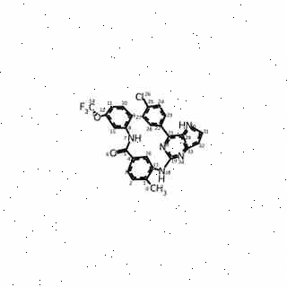 Cc1ccc(C(=O)Nc2cccc(OC(F)(F)F)c2)cc1Nc1nc(-c2ccc(Cl)cc2)c2[nH]ccc2n1